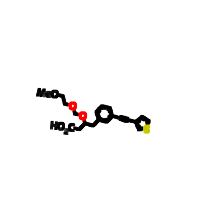 COCCOCOC(CC(=O)O)Cc1cccc(C#Cc2ccsc2)c1